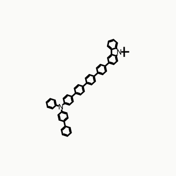 CC(C)(C)n1c2ccccc2c2cc(-c3ccc(-c4ccc(-c5ccc(-c6ccc(N(c7ccccc7)c7ccc(-c8ccccc8)cc7)cc6)cc5)cc4)cc3)ccc21